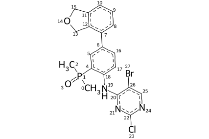 CP(C)(=O)c1cc(-c2cccc3c2COC3)ccc1Nc1nc(Cl)ncc1Br